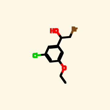 CCOc1cc(Cl)cc(C(O)CBr)c1